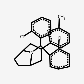 Cc1cccc(C2CC3CCC(C2)N3C(c2ccccc2Cl)c2ccccc2Cl)n1